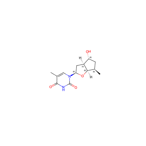 Cc1cn([C@H]2C[C@@H]3[C@H](O2)[C@H](C)C[C@H]3O)c(=O)[nH]c1=O